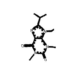 CC(C)c1nc2c(=O)n(C)c(=O)n(C)c2n1C